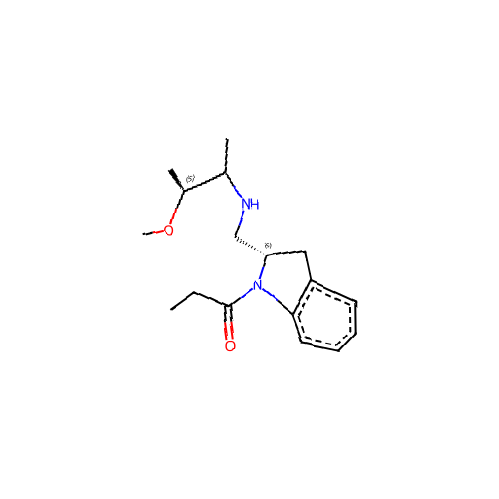 CCC(=O)N1c2ccccc2C[C@H]1CNC(C)[C@H](C)OC